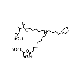 CCCCCCCCOCC(C)C(=O)OCCCCCN(CCCCCCCC(=O)OC(CCCCCCCC)CCCCCCCC)CCCCN1CCCC1